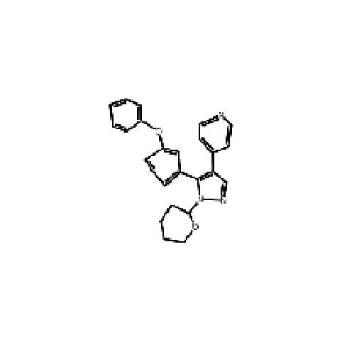 c1ccc(Oc2cccc(-c3c(-c4ccncc4)cnn3C3CCCCO3)c2)cc1